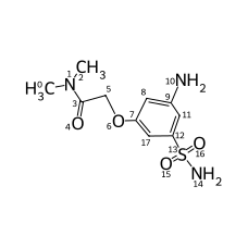 CN(C)C(=O)COc1cc(N)cc(S(N)(=O)=O)c1